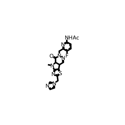 CC(=O)Nc1ccc(F)c(CN2N=CC3c4sc(Cn5ccnc5)nc4N(C)C3C2=O)n1